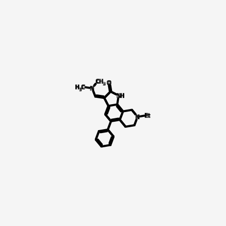 CCN1CCc2c(-c3ccccc3)cc3c(c2C1)NC(=O)C3=CN(C)C